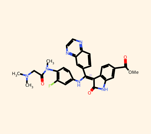 COC(=O)c1ccc2c(c1)NC(=O)/C2=C(\Nc1ccc(N(C)C(=O)CN(C)C)c(F)c1)c1ccc2nccnc2c1